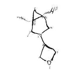 [CH]1[C@@H]2CN(C3COC3)C[C@H]12